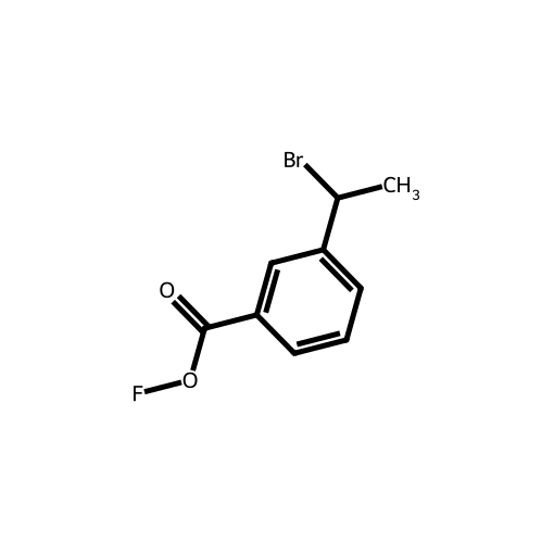 CC(Br)c1cccc(C(=O)OF)c1